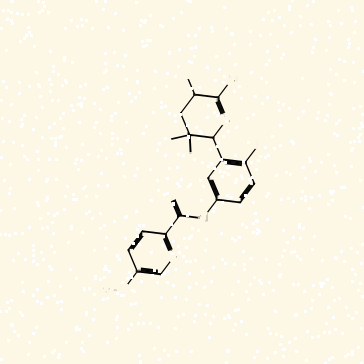 COc1ccc(C(=O)Nc2ccc(F)c(C3N=C(N)C(F)CC3(F)F)c2)nc1